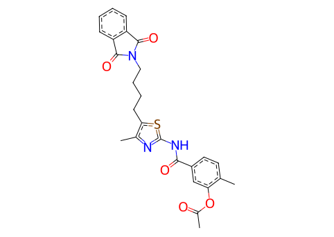 CC(=O)Oc1cc(C(=O)Nc2nc(C)c(CCCCN3C(=O)c4ccccc4C3=O)s2)ccc1C